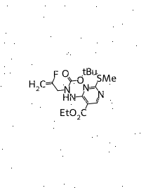 C=C(F)CN(Nc1nc(SC)ncc1C(=O)OCC)C(=O)OC(C)(C)C